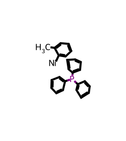 Cc1cccc[c]1[Ni].c1ccc(P(c2ccccc2)c2ccccc2)cc1